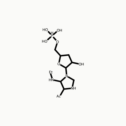 CCNC1C(C(C)=O)NCN1C1OC(CO[PH](O)(O)O)CC1O